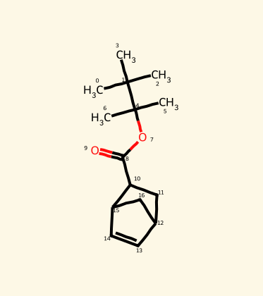 CC(C)(C)C(C)(C)OC(=O)C1CC2C=CC1C2